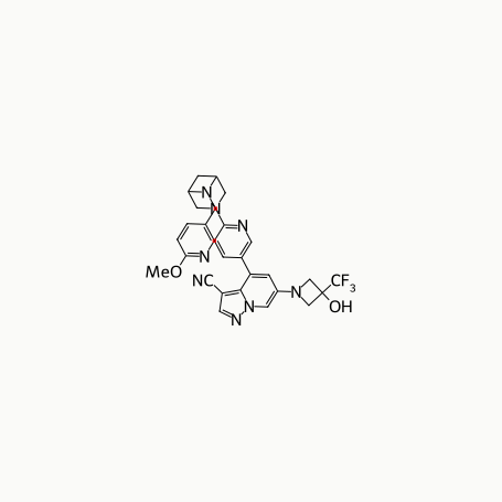 COc1ccc(CN2C3CC2CN(c2ccc(-c4cc(N5CC(O)(C(F)(F)F)C5)cn5ncc(C#N)c45)cn2)C3)cn1